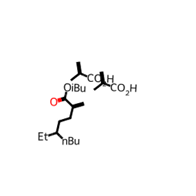 C=C(C)C(=O)O.C=C(C)C(=O)O.C=C(CCC(CC)CCCC)C(=O)OCC(C)C